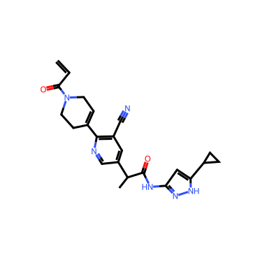 C=CC(=O)N1CC=C(c2ncc(C(C)C(=O)Nc3cc(C4CC4)[nH]n3)cc2C#N)CC1